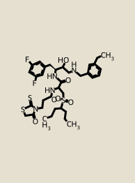 CCCC(CCC)S(=O)(=O)CC(NC(=O)CCN1C(=O)CSC1=S)C(=O)N[C@@H](Cc1cc(F)cc(F)c1)C(O)CNCc1cccc(CC)c1